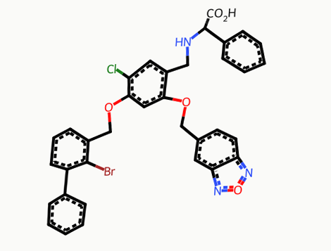 O=C(O)C(NCc1cc(Cl)c(OCc2cccc(-c3ccccc3)c2Br)cc1OCc1ccc2nonc2c1)c1ccccc1